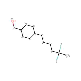 CC(F)(F)CCCCC1CCC(CO)CC1